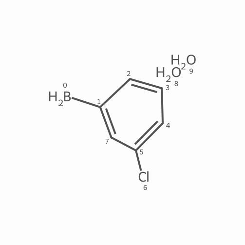 Bc1cccc(Cl)c1.O.O